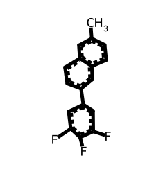 Cc1ccc2cc(-c3cc(F)c(F)c(F)c3)ccc2c1